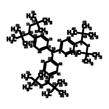 CC(C)(C)CC(c1ccc(P(c2ccc(C(CC(C)(C)C)C(C)(C)C)cc2)c2ccc(C(CC(C)(C)C)C(C)(C)C)cc2)cc1)C(C)(C)C